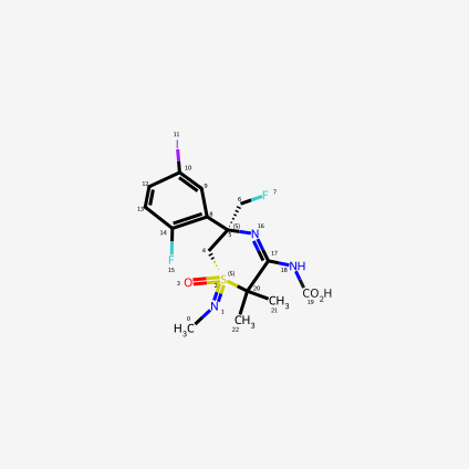 CN=[S@]1(=O)C[C@@](CF)(c2cc(I)ccc2F)N=C(NC(=O)O)C1(C)C